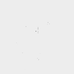 CCOc1cc2ncnc(-c3cn(C)nc3-c3ccccc3)c2cc1NC(=O)C12CC1CN(C(=O)OC(C)(C)C)C2